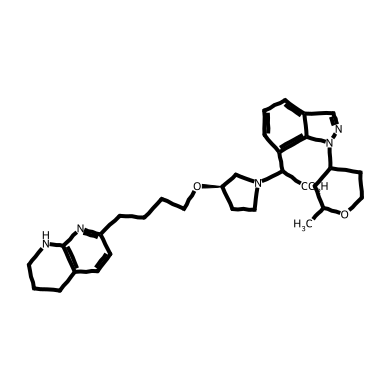 CC1CC(n2ncc3cccc(C(C(=O)O)N4CC[C@@H](OCCCCc5ccc6c(n5)NCCC6)C4)c32)CCO1